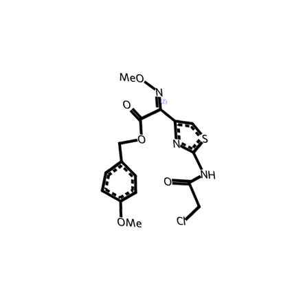 CO/N=C(\C(=O)OCc1ccc(OC)cc1)c1csc(NC(=O)CCl)n1